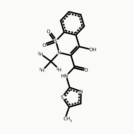 [2H]C([2H])([2H])N1C(C(=O)Nc2ncc(C)s2)=C(O)c2ccccc2S1(=O)=O